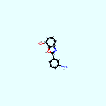 Nc1cccc(-c2nc3cccc(O)c3o2)c1